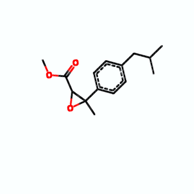 COC(=O)C1OC1(C)c1ccc(CC(C)C)cc1